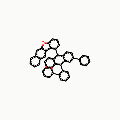 c1ccc(-c2ccc3c(-c4cccc5oc6cc7ccccc7cc6c45)c4ccccc4c(-c4ccccc4-c4ccccc4)c3c2)cc1